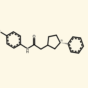 O=C(CC1CC[C@H](c2ccccc2)C1)Nc1ccc(F)cc1